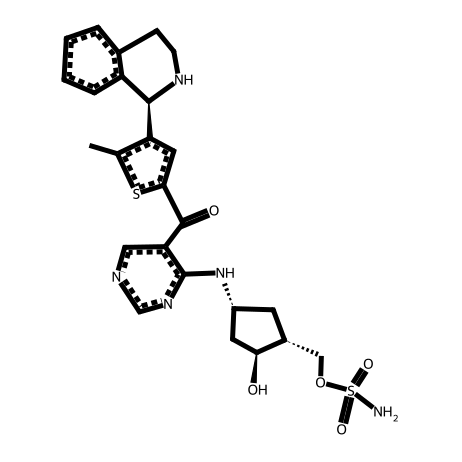 Cc1sc(C(=O)c2cncnc2N[C@@H]2C[C@H](COS(N)(=O)=O)[C@@H](O)C2)cc1[C@@H]1NCCc2ccccc21